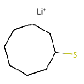 [Li+].[S-]C1CCCCCCC1